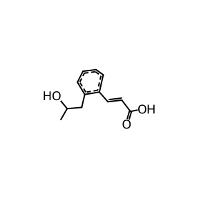 CC(O)Cc1ccccc1/C=C/C(=O)O